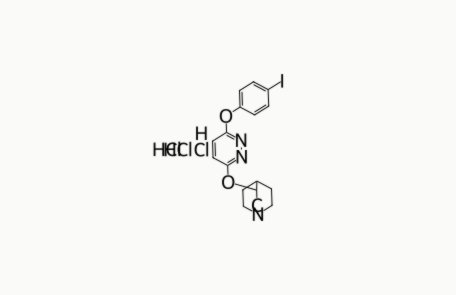 Cl.Cl.Cl.Ic1ccc(Oc2ccc(OC3CN4CCC3CC4)nn2)cc1